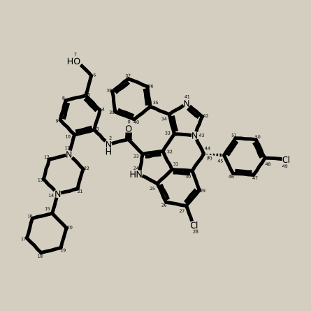 O=C(Nc1cc(CO)ccc1N1CCN(C2CCCCC2)CC1)c1[nH]c2cc(Cl)cc3c2c1-c1c(-c2ccccc2)ncn1[C@@H]3c1ccc(Cl)cc1